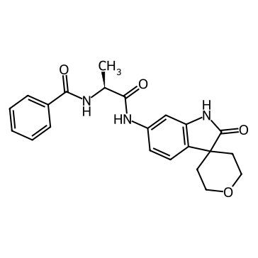 C[C@H](NC(=O)c1ccccc1)C(=O)Nc1ccc2c(c1)NC(=O)C21CCOCC1